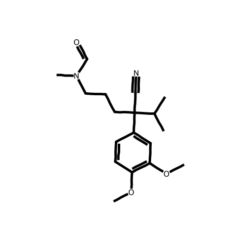 COc1ccc(C(C#N)(CCCN(C)C=O)C(C)C)cc1OC